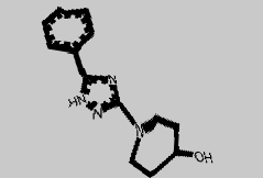 OC1CCN(c2n[nH]c(-c3ccccc3)n2)CC1